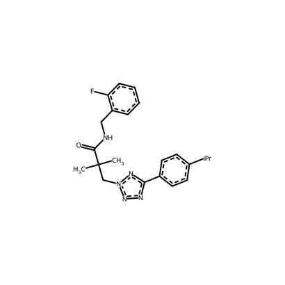 CC(C)c1ccc(-c2nnn(CC(C)(C)C(=O)NCc3ccccc3F)n2)cc1